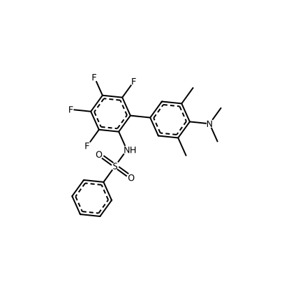 Cc1cc(-c2c(F)c(F)c(F)c(F)c2NS(=O)(=O)c2ccccc2)cc(C)c1N(C)C